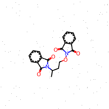 CC(CCON1C(=O)c2ccccc2C1=O)N1C(=O)c2ccccc2C1=O